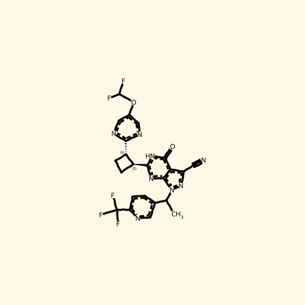 CC(c1ccc(C(F)(F)F)nc1)n1nc(C#N)c2c(=O)[nH]c([C@H]3CC[C@@H]3c3ncc(OC(F)F)cn3)nc21